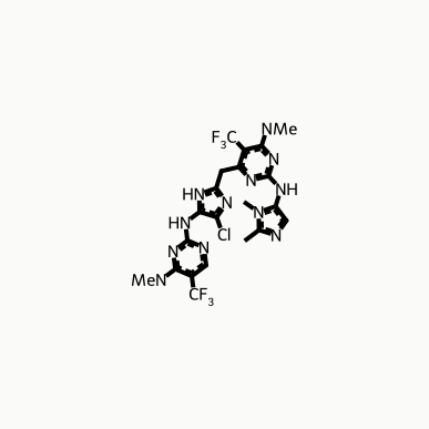 CNc1nc(Nc2[nH]c(Cc3nc(Nc4cnc(C)n4C)nc(NC)c3C(F)(F)F)nc2Cl)ncc1C(F)(F)F